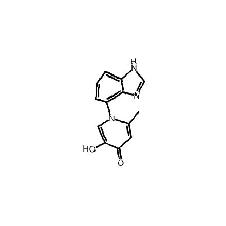 Cc1cc(=O)c(O)cn1-c1cccc2[nH]cnc12